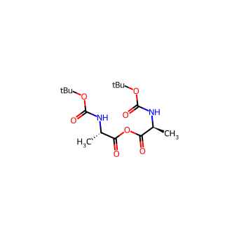 C[C@H](NC(=O)OC(C)(C)C)C(=O)OC(=O)[C@H](C)NC(=O)OC(C)(C)C